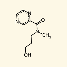 CN(CCCO)C(=O)c1cnccn1